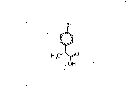 C[C@@H](C(=O)O)c1ccc(Br)cc1